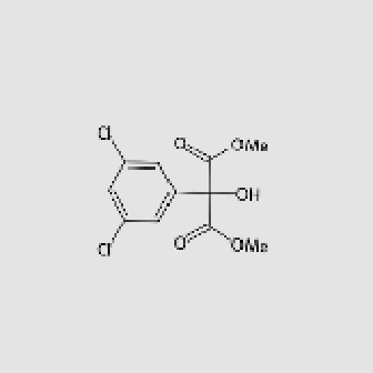 COC(=O)C(O)(C(=O)OC)c1cc(Cl)cc(Cl)c1